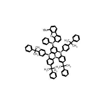 CC(C)(C)c1cccc2c1oc1c(N(c3ccccc3)c3cc4c5c(c3)N(c3ccc(C(C)(C)c6ccccc6)cc3)c3ccc(C(C)(C)c6ccccc6)cc3B5c3cc(C(C)(C)c5ccccc5)ccc3N4c3ccc(C(C)(C)c4ccccc4)cc3)cccc12